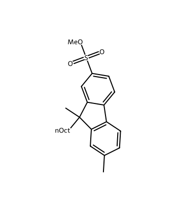 CCCCCCCCC1(C)c2cc(C)ccc2-c2ccc(S(=O)(=O)OC)cc21